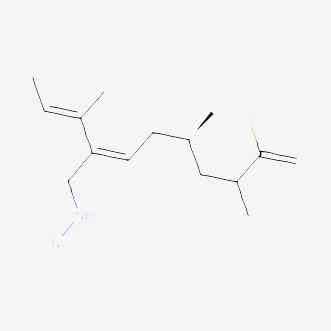 C=C(S)C(C)C[C@H](C)C/C=C(CNN)\C(C)=C\C